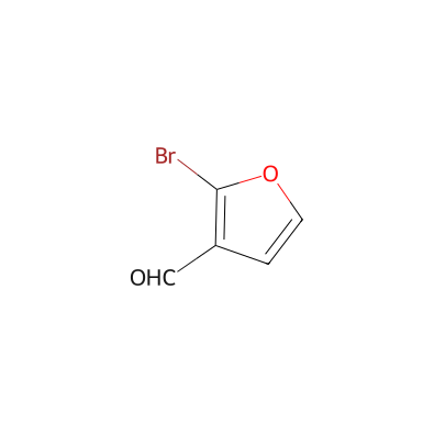 O=Cc1ccoc1Br